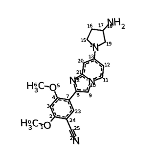 COc1cc(OC)c(-c2cn3ccc(N4CCC(N)C4)cc3n2)cc1C#N